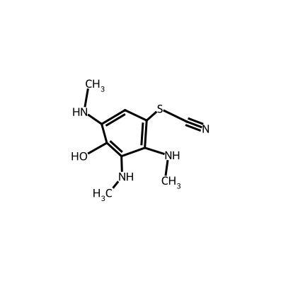 CNc1cc(SC#N)c(NC)c(NC)c1O